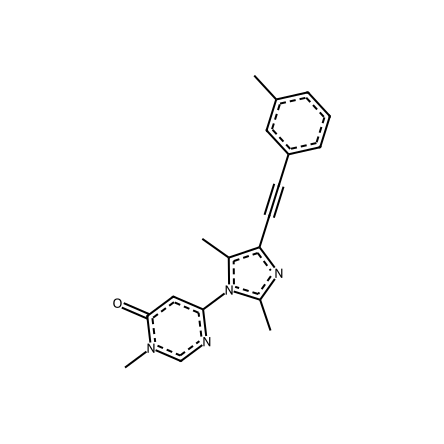 Cc1cccc(C#Cc2nc(C)n(-c3cc(=O)n(C)cn3)c2C)c1